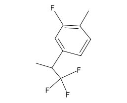 Cc1ccc(C(C)C(F)(F)F)cc1F